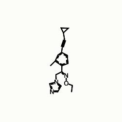 CCO/N=C(\Cn1ccnc1)c1ccc(C#CC2CC2)cc1C